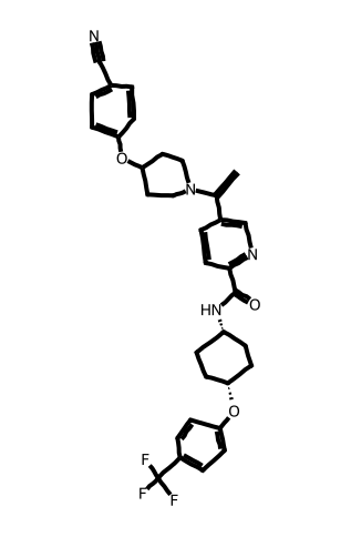 C=C(c1ccc(C(=O)N[C@H]2CC[C@@H](Oc3ccc(C(F)(F)F)cc3)CC2)nc1)N1CCC(Oc2ccc(C#N)cc2)CC1